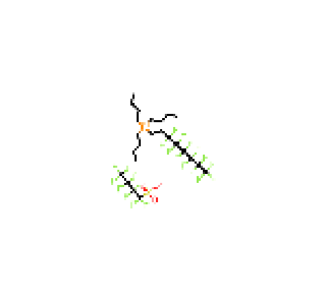 CCCC[P+](CCCC)(CCCC)CCC(F)(F)C(F)(F)C(F)(F)C(F)(F)C(F)(F)C(F)(F)F.O=S(=O)([O-])C(F)(F)C(F)(F)C(F)(F)C(F)(F)F